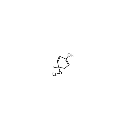 CCOC1(I)C=CC(O)=CC1